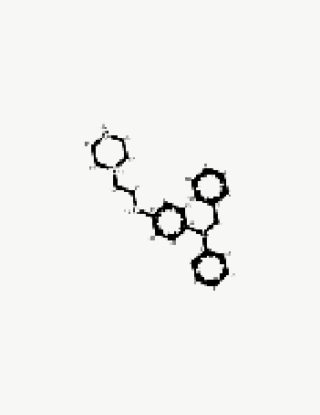 c1ccc(CN(c2ccccc2)c2ccc(OCCN3CCOCC3)cc2)cc1